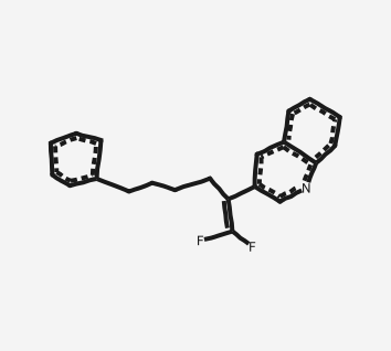 FC(F)=C(CCCCc1ccccc1)c1cnc2ccccc2c1